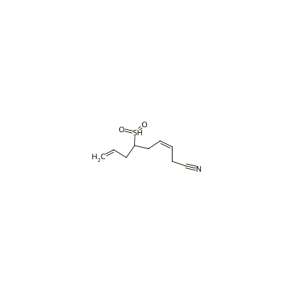 C=CCC(C/C=C\CC#N)[SH](=O)=O